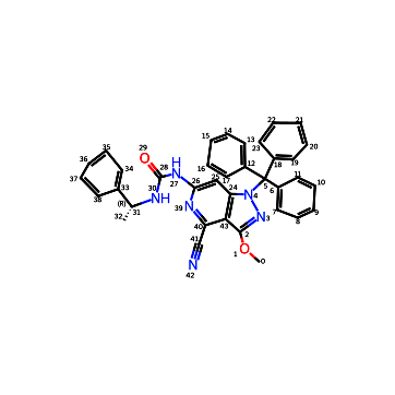 COc1nn(C(c2ccccc2)(c2ccccc2)c2ccccc2)c2cc(NC(=O)N[C@H](C)c3ccccc3)nc(C#N)c12